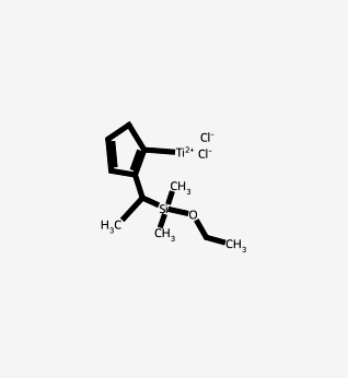 CCO[Si](C)(C)C(C)C1=[C]([Ti+2])CC=C1.[Cl-].[Cl-]